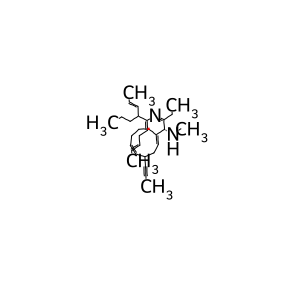 CC#CC1C=CCCC/C([C@@H](NC)/C(CC)=N\C(=CC/C=C/C)C(C=CC)CCC)=C\C1